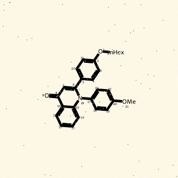 CCCCCCOc1ccc(-c2cc(=O)c3ccccc3n2-c2ccc(OC)cc2)cc1